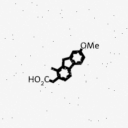 COc1ccc2c(c1)Cc1c-2ccc(CC(=O)O)c1C